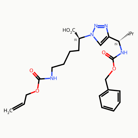 C=CCOC(=O)NCCCC[C@@H](C(=O)O)n1cc([C@@H](NC(=O)OCc2ccccc2)C(C)C)nn1